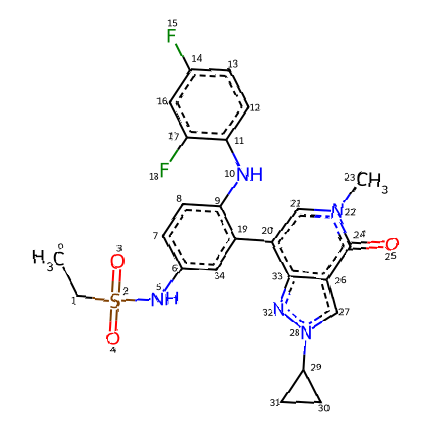 CCS(=O)(=O)Nc1ccc(Nc2ccc(F)cc2F)c(-c2cn(C)c(=O)c3cn(C4CC4)nc23)c1